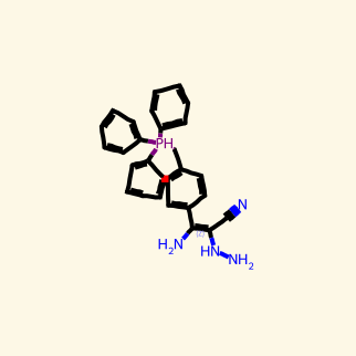 N#C/C(NN)=C(/N)c1ccc(C[PH](c2ccccc2)(c2ccccc2)c2ccccc2)cc1